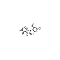 COc1cc(Cl)cc2c1NC(Nc1cccc(F)c1Cl)=NS2